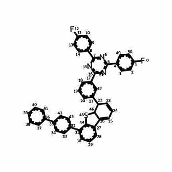 Fc1ccc(-c2nc(-c3ccc(F)cc3)nc(-c3cccc(C4C=CC=C5c6cccc(-c7ccc(-c8ccccc8)cc7)c6SC54)c3)n2)cc1